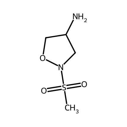 CS(=O)(=O)N1CC(N)CO1